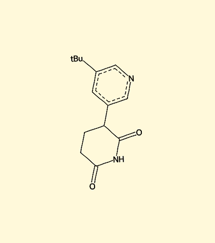 CC(C)(C)c1cncc(C2CCC(=O)NC2=O)c1